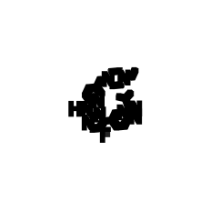 CCN1CCN(Cc2ccc(Nc3ncc(F)c(-c4ccc5nnc(C(C)C)n5c4)n3)nc2)CC1